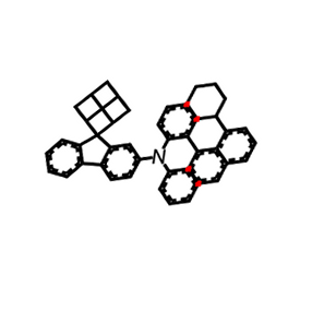 c1ccc(N(c2ccc3c(c2)C2(c4ccccc4-3)C3CC4CC5CC2C453)c2ccccc2-c2cccc3cccc(C4CCCCC4)c23)cc1